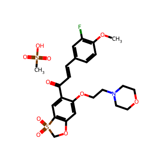 COc1ccc(/C=C/C(=O)c2cc3c(cc2OCCN2CCOCC2)OCS3(=O)=O)cc1F.CS(=O)(=O)O